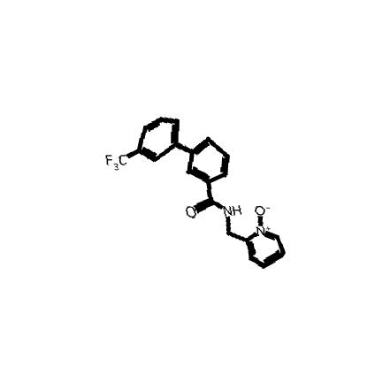 O=C(NCc1cccc[n+]1[O-])c1cccc(-c2cccc(C(F)(F)F)c2)c1